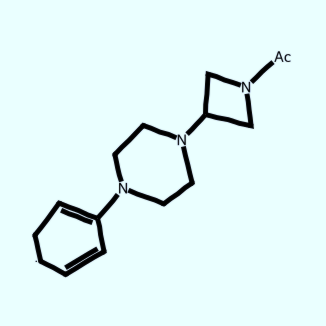 CC(=O)N1CC(N2CCN(C3=CC[CH]C=C3)CC2)C1